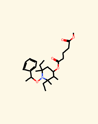 CCC1(C)CC(OC(=O)CCCC(=O)OC)C(C)C(C)(CC)N1OC(C)c1ccccc1